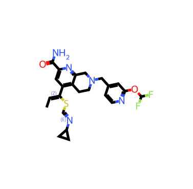 C/C=C(\S/C=N/C1CC1)c1cc(C(N)=O)nc2c1CCN(Cc1ccnc(OC(F)F)c1)C2